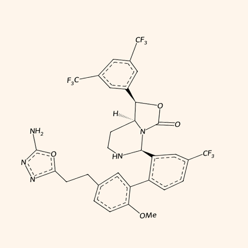 COc1ccc(CCc2nnc(N)o2)cc1-c1ccc(C(F)(F)F)cc1[C@H]1NCC[C@H]2[C@@H](c3cc(C(F)(F)F)cc(C(F)(F)F)c3)OC(=O)N12